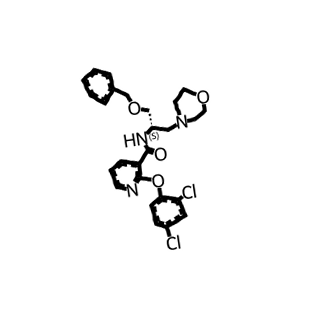 O=C(N[C@H](COCc1ccccc1)CN1CCOCC1)c1cccnc1Oc1ccc(Cl)cc1Cl